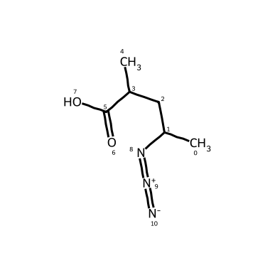 CC(CC(C)C(=O)O)N=[N+]=[N-]